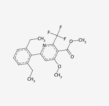 CCc1cccc(CC)c1-c1cc(OC)c(C(=O)OC)c(C(F)(F)F)n1